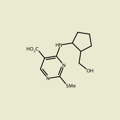 CSc1ncc(C(=O)O)c(NC2CCCC2CO)n1